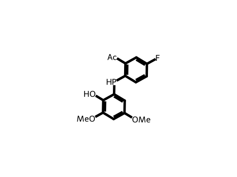 COc1cc(OC)c(O)c(Pc2ccc(F)cc2C(C)=O)c1